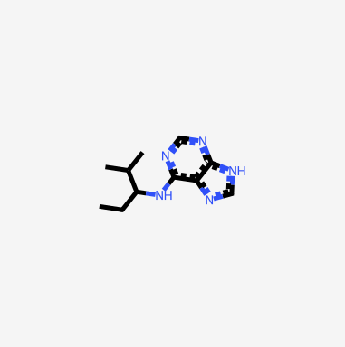 CCC(Nc1ncnc2[nH]cnc12)C(C)C